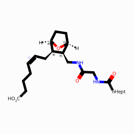 CCCCCCCC(=O)NCC(=O)NC[C@H]1[C@@H](C/C=C\CCCC(=O)O)[C@H]2CC[C@@H]1O2